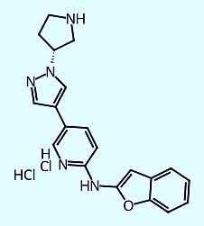 Cl.Cl.c1ccc2oc(Nc3ccc(-c4cnn([C@@H]5CCNC5)c4)cn3)cc2c1